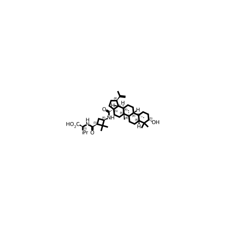 C=C(C)[C@@H]1CC[C@]2(C(=O)N[C@@H]3C[C@H](C(=O)N[C@H](C(=O)O)C(C)C)C3(C)C)CC[C@]3(C)[C@H](CC[C@@H]4[C@@]5(C)CC[C@H](O)C(C)(C)[C@@H]5CC[C@]43C)[C@@H]12